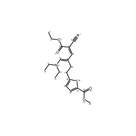 CCOC(=O)C(C#N)=CC(=CN(CC)CC)CCc1ccc(C(=O)OC)s1